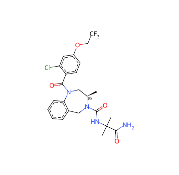 C[C@@H]1CN(C(=O)c2ccc(OCC(F)(F)F)cc2Cl)c2ccccc2CN1C(=O)NC(C)(C)C(N)=O